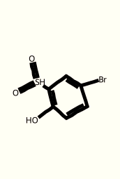 O=[SH](=O)c1cc(Br)ccc1O